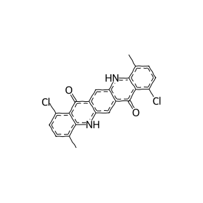 Cc1ccc(Cl)c2c(=O)c3cc4[nH]c5c(C)ccc(Cl)c5c(=O)c4cc3[nH]c12